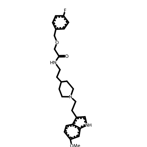 COc1ccc2c(CCN3CCC(CCNC(=O)COCc4ccc(F)cc4)CC3)c[nH]c2c1